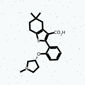 CN1CC[C@@H](Oc2ccccc2-c2sc3c(c2C(=O)O)CC(C)(C)CC3)C1